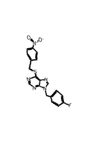 O=[N+]([O-])c1ccc(CSc2ncnc3c2ncn3Cc2ccc(F)cc2)cc1